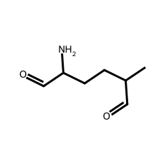 CC(C=O)CCC(N)C=O